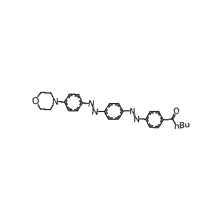 CCCCC(=O)c1ccc(N=Nc2ccc(N=Nc3ccc(N4CCOCC4)cc3)cc2)cc1